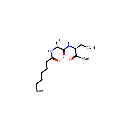 CCCCCCCCCCCCCCCC(=O)N[C@@H](C)C(=O)N[C@@H](CC(=O)O)C(=O)NC